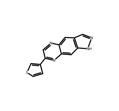 c1cc(-c2cnc3cc4cn[nH]c4cc3n2)cs1